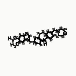 Cc1cc2ncn(Cc3ccc4c(c3)CCc3cc(CN5CCOCC5)ccc3N4)c2cc1C